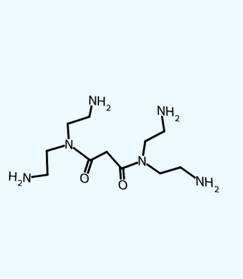 NCCN(CCN)C(=O)CC(=O)N(CCN)CCN